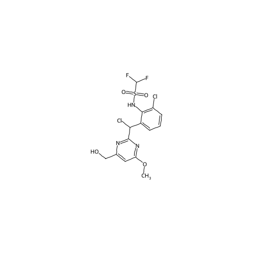 COc1cc(CO)nc(C(Cl)c2cccc(Cl)c2NS(=O)(=O)C(F)F)n1